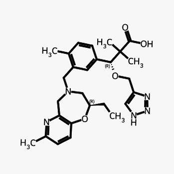 CC[C@@H]1CN(Cc2cc([C@@H](OCc3c[nH]nn3)C(C)(C)C(=O)O)ccc2C)Cc2nc(C)ccc2O1